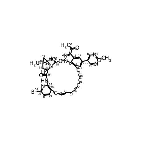 CC(=O)c1nn2c3c(cc(-c4cnc(C)nc4)cc13)CCCCCC/C=C/Cc1ccc(Br)nc1NC(=O)[C@@H]1C[C@@]3(C)C[C@H]3N1C(=O)C2